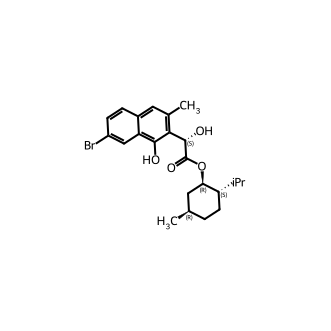 Cc1cc2ccc(Br)cc2c(O)c1[C@H](O)C(=O)O[C@@H]1C[C@H](C)CC[C@H]1C(C)C